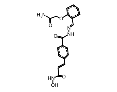 NC(=O)COc1ccccc1/C=N/NC(=O)c1ccc(/C=C/C(=O)NO)cc1